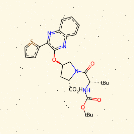 CC(C)(C)OC(=O)N[C@H](C(=O)N1C[C@H](Oc2nc3ccccc3nc2-c2cccs2)C[C@H]1C(=O)O)C(C)(C)C